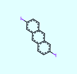 Ic1ccc2cc3cc(I)ccc3cc2c1